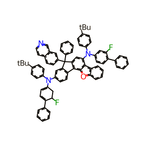 CC(C)(C)c1ccc(N(C2=CC=C(c3ccccc3)C(F)C2)c2ccc3c(c2)C(c2ccccc2)(c2ccc4ccncc4c2)c2cc(N(c4ccc(C(C)(C)C)cc4)c4ccc(-c5ccccc5)c(F)c4)c4c(oc5ccccc54)c2-3)cc1